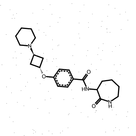 O=C(NC1CCCCNC1=O)c1ccc(O[C@H]2C[C@H](N3CCCCC3)C2)cc1